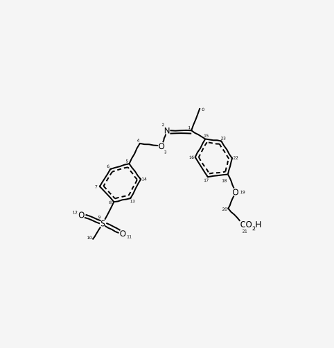 CC(=NOCc1ccc(S(C)(=O)=O)cc1)c1ccc(OCC(=O)O)cc1